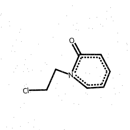 O=c1ccccn1CCCl